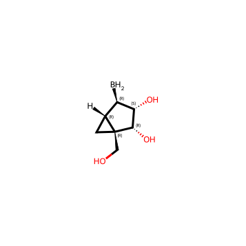 B[C@H]1[C@H](O)[C@H](O)[C@]2(CO)C[C@H]12